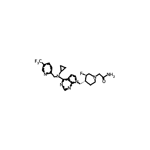 NC(=O)CN1CC[C@H](Cn2ccc3c(N(Cc4ccc(C(F)(F)F)cn4)C4CC4)ncnc32)[C@@H](F)C1